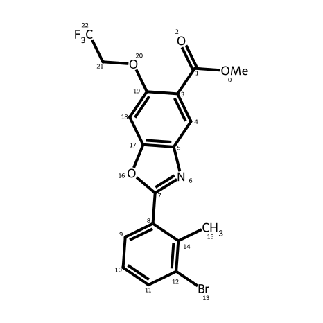 COC(=O)c1cc2nc(-c3cccc(Br)c3C)oc2cc1OCC(F)(F)F